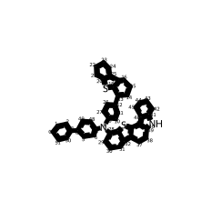 c1ccc(-c2ccc(N(c3ccc(-c4cccc5c4sc4ccccc45)cc3)c3cccc4c3sc3c4ccc4[nH]c5ccccc5c43)cc2)cc1